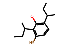 CCC(C)c1ccc(S)c(C(C)CC)c1[O]